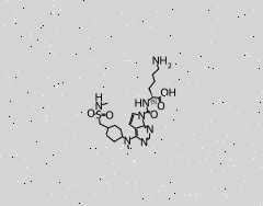 CNS(=O)(=O)CC1CCC(N(C)c2ncnc3c2ccn3C(=O)N[C@@H](CCCCN)C(=O)O)CC1